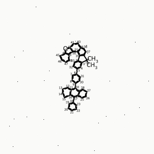 CC1(C)c2cc(-c3ccc(-c4c5ccccc5c(-c5ccccc5)c5ccccc45)cc3)ccc2-c2c1ccc1ccc3oc4ccccc4c3c21